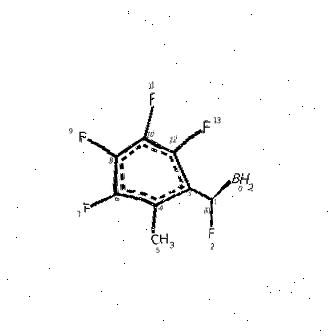 B[C@@H](F)c1c(C)c(F)c(F)c(F)c1F